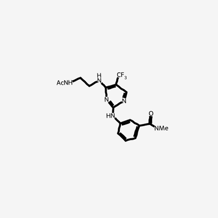 CNC(=O)c1cccc(Nc2ncc(C(F)(F)F)c(NCCNC(C)=O)n2)c1